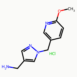 COc1ccc(Cn2cc(CN)cn2)cn1.Cl